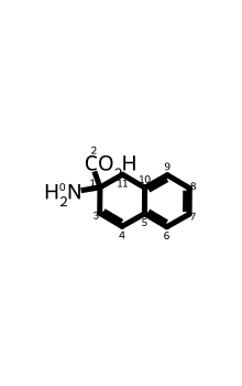 NC1(C(=O)O)C=Cc2ccccc2C1